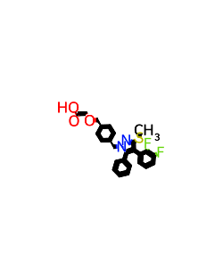 CSc1nn(C[C@H]2CC[C@@H](COCC(=O)O)CC2)c(-c2ccccc2)c1-c1cccc(F)c1F